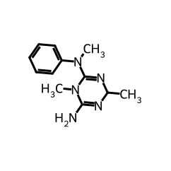 CC1N=C(N)N(C)C(N(C)c2ccccc2)=N1